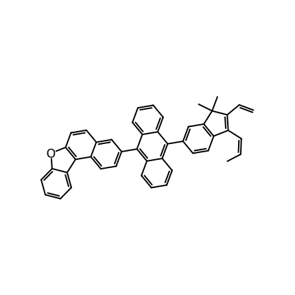 C=CC1=C(/C=C\C)c2ccc(-c3c4ccccc4c(-c4ccc5c(ccc6oc7ccccc7c65)c4)c4ccccc34)cc2C1(C)C